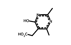 Cc1nc(C)c(CC(=O)O)c(O)n1